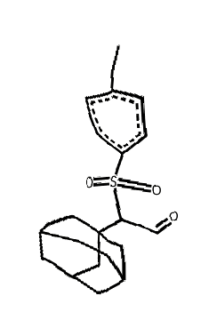 Cc1ccc(S(=O)(=O)C(C=O)C23CC4CC(CC(C4)C2)C3)cc1